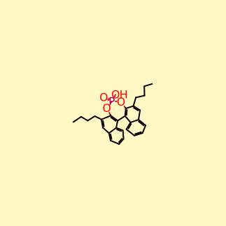 CCCCc1cc2ccccc2c2c1OP(=O)(O)Oc1c(CCCC)cc3ccccc3c1-2